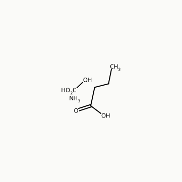 CCCC(=O)O.N.O=C(O)O